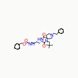 CC(C)(C)CN1C(=O)[C@H](CCCCNC(=O)OCc2ccccc2)NC(=O)C12CCN(CCc1ccccc1)CC2